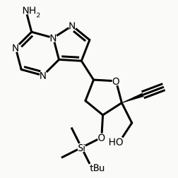 C#C[C@]1(CO)OC(c2cnn3c(N)ncnc23)CC1O[Si](C)(C)C(C)(C)C